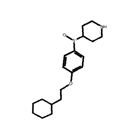 [O-][S+](c1ccc(OCCC2CCCCC2)cc1)C1CCNCC1